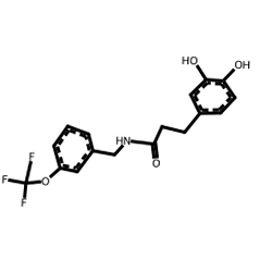 O=C(CCc1ccc(O)c(O)c1)NCc1cccc(OC(F)(F)F)c1